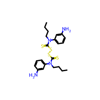 CCCCN(C(=S)SSC(=S)N(CCCC)c1cccc(N)c1)c1cccc(N)c1